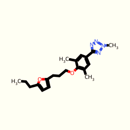 CCCc1ccc(CCCOc2c(C)cc(-c3nnn(C)n3)cc2C)o1